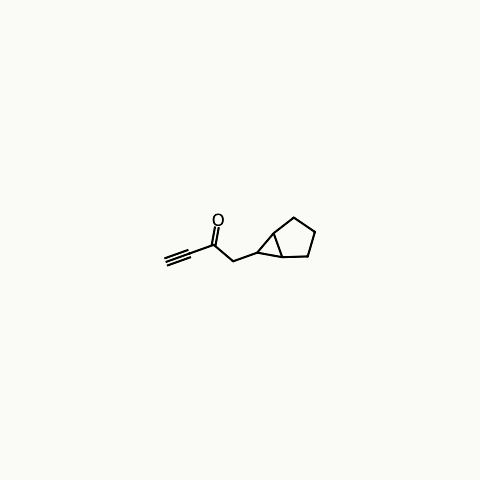 C#CC(=O)CC1C2CCCC21